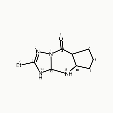 CCC1=NN2C(=O)C3CCCC3NC2N1